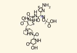 CC(C)(O/N=C(\C(=O)N[C@@H]1C(=O)N2C(C(=O)O)=C(C[N+]3(CCNC(=O)c4cc(=O)c(O)c[nH]4)CCCC3)CS[C@H]12)c1csc(N)n1)C(=O)O